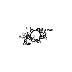 CCn1c(-c2cnccc2COC)c2c3cc(ccc31)-c1cc(O)cc(c1)C[C@H](NC(=O)[C@H](C(C)C)N(C)C(=O)N1CC(OC)C1)C(=O)N1CCC[C@@](C)(N1)C(=O)OCC(C)(C)C2